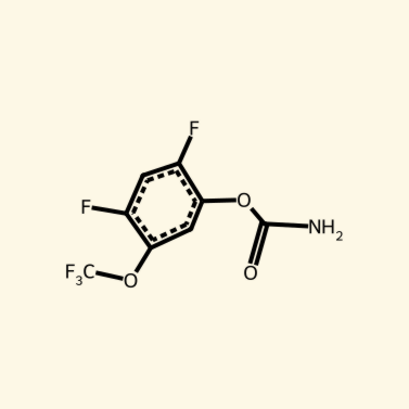 NC(=O)Oc1cc(OC(F)(F)F)c(F)cc1F